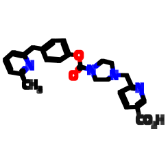 Cc1cccc(Cc2ccc(OC(=O)N3CCN(Cc4ccc(C(=O)O)cn4)CC3)cc2)n1